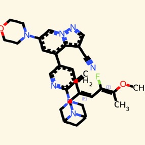 C=C/C(=C\C(F)=C(/C)OC)CN1C2CC1CN(c1ccc(-c3cc(N4CCOCC4)cn4ncc(C#N)c34)cn1)C2